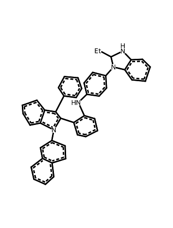 CCC1Nc2ccccc2N1c1ccc(Nc2ccccc2-c2c(-c3ccccc3)c3ccccc3n2-c2ccc3ccccc3c2)cc1